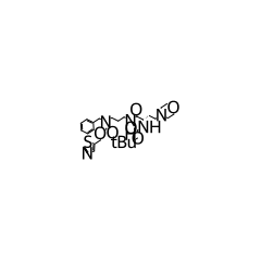 CC(C)(C)OC(=O)N[C@@H](CCN1CCOCC1)C(=O)NCCCN(Cc1ccccc1)C(=O)OCc1cncs1